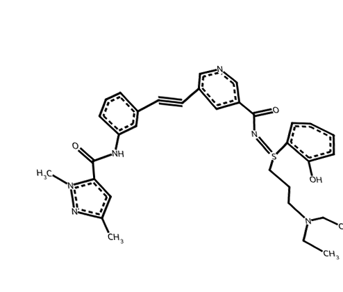 CCN(CC)CCCS(=NC(=O)c1cncc(C#Cc2cccc(NC(=O)c3cc(C)nn3C)c2)c1)c1ccccc1O